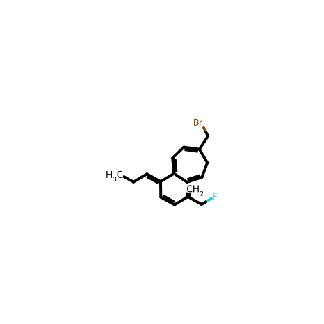 C=C(/C=C\C(=C/CC)C1=CC=C(CBr)CC=C1)CF